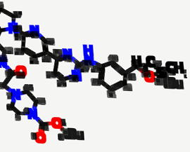 CC(C)(C)OC(=O)N1CCN(CC(=O)NCCC2CCCN2c2ccc(-c3ccnc(Nc4cccc(CO[Si](C)(C)C(C)(C)C)c4)n3)cn2)CC1